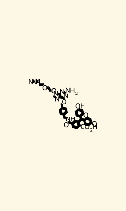 [N-]=[N+]=NCCOCCOn1cnc2c(OCc3ccc(CNC(=O)c4ccc(C(=O)O)c(-c5c6ccc(=O)cc-6oc6cc(O)ccc56)c4)cc3)nc(N)nc21